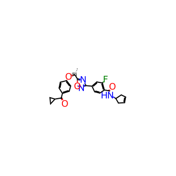 C[C@@H](Oc1ccc(C(=O)C2CC2)cc1)c1nc(-c2ccc(C(=O)NC3CC=CC3)c(F)c2)no1